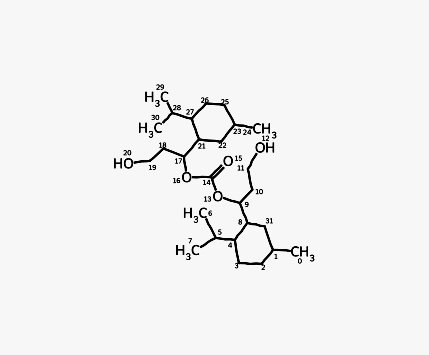 CC1CCC(C(C)C)C(C(CCO)OC(=O)OC(CCO)C2CC(C)CCC2C(C)C)C1